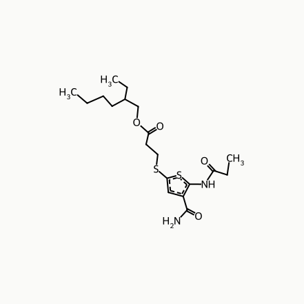 CCCCC(CC)COC(=O)CCSc1cc(C(N)=O)c(NC(=O)CC)s1